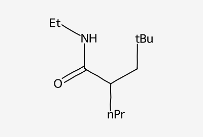 CCCC(CC(C)(C)C)C(=O)NCC